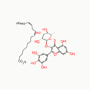 CCCCC/C=C\C/C=C\CCCCCCCC(=O)O.C[C@@H]1O[C@@H](Oc2c(-c3cc(O)c(O)c(O)c3)oc3cc(O)cc(O)c3c2=O)[C@H](O)[C@H](O)[C@H]1O